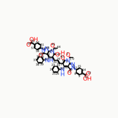 CC(=O)n1c2nn(-c3ccc(C(=O)O)cc3)c(=O)c-2c(Nc2ccccc2)c(C=CC=c2c(Nc3ccccc3)c3c(n(C(C)=O)c2=O)=NN(c2ccc(C(=O)O)cc2)C3=O)c1O